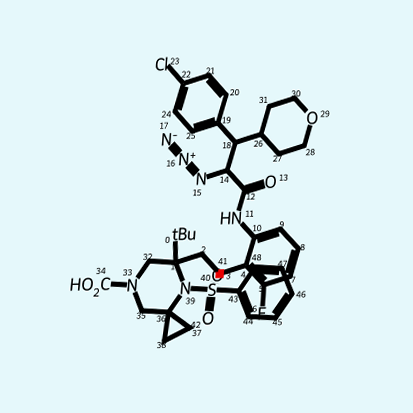 CC(C)(C)C1(CCc2c(F)cccc2NC(=O)C(N=[N+]=[N-])C(c2ccc(Cl)cc2)C2CCOCC2)CN(C(=O)O)CC2(CC2)N1S(=O)(=O)c1ccccc1